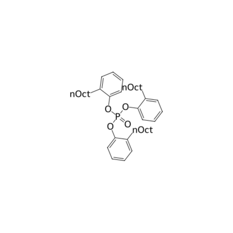 CCCCCCCCc1ccccc1OP(=O)(Oc1ccccc1CCCCCCCC)Oc1ccccc1CCCCCCCC